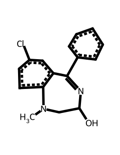 CN1CC(O)N=C(c2ccccc2)c2cc(Cl)ccc21